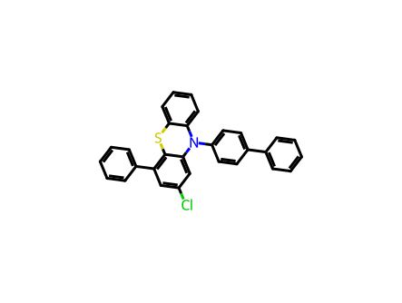 Clc1cc(-c2ccccc2)c2c(c1)N(c1ccc(-c3ccccc3)cc1)c1ccccc1S2